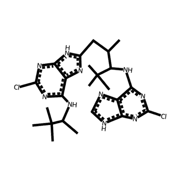 CC(Cc1nc2c(NC(C)C(C)(C)C)nc(Cl)nc2[nH]1)C(Nc1nc(Cl)nc2[nH]cnc12)C(C)(C)C